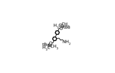 CC(C)(C)[Si](C)(C)OCc1ccc(-c2ccc(CO[Si](C)(C)C(C)(C)C)cc2CCCN)cc1